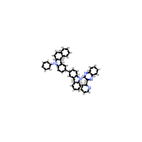 c1ccc(-n2c3ccc(-c4ccc5c(c4)c4ccccc4n5-c4nc5ccccc5nc4-c4ccccn4)cc3c3c4ccccc4ccc32)cc1